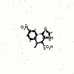 CC(c1ccc([N+](=O)[O-])cc1)C(C(=O)O)c1cnc[nH]1